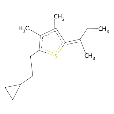 C=c1c(C)c(CCC2CC2)s/c1=C(\C)CC